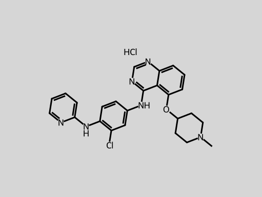 CN1CCC(Oc2cccc3ncnc(Nc4ccc(Nc5ccccn5)c(Cl)c4)c23)CC1.Cl